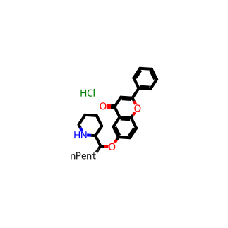 CCCCCC(Oc1ccc2oc(-c3ccccc3)cc(=O)c2c1)C1CCCCN1.Cl